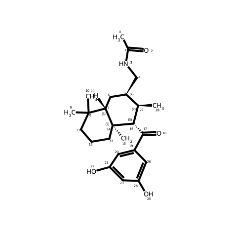 CC(=O)NC[C@@H]1C[C@H]2C(C)(C)CCC[C@]2(C)[C@@H](C(=O)c2cc(O)cc(O)c2)[C@@H]1C